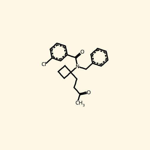 CC(=O)CCC1(N(Cc2ccccc2)C(=O)c2cccc(Cl)c2)CCC1